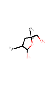 BC1O[C@@](C)(CO)CC1C